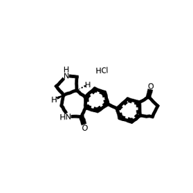 Cl.O=C1CCc2ccc(-c3ccc4c(c3)C(=O)NC[C@@H]3CNC[C@@H]43)cc21